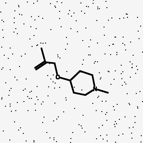 C=C(C)COC1CCN(C)CC1